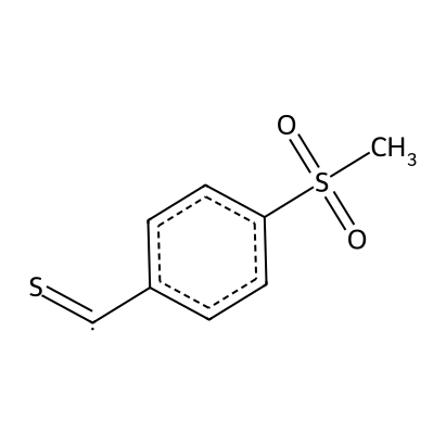 CS(=O)(=O)c1ccc([C]=S)cc1